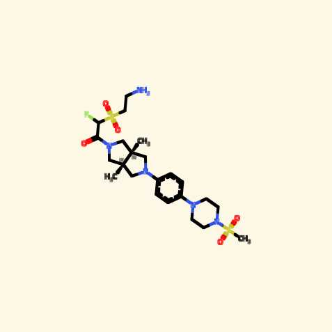 C[C@@]12CN(C(=O)C(F)S(=O)(=O)CCN)C[C@]1(C)CN(c1ccc(N3CCN(S(C)(=O)=O)CC3)cc1)C2